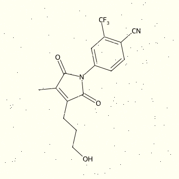 CC1=C(CCCO)C(=O)N(c2ccc(C#N)c(C(F)(F)F)c2)C1=O